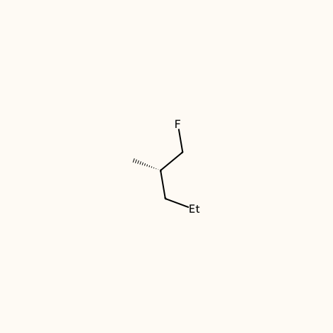 CCC[C@H](C)CF